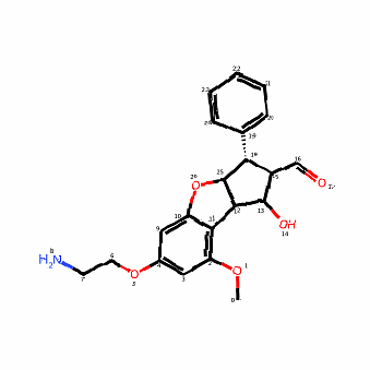 COc1cc(OCCN)cc2c1C1C(O)C(C=O)[C@@H](c3ccccc3)C1O2